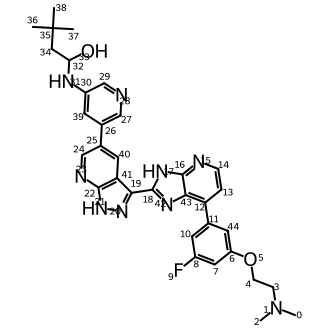 CN(C)CCOc1cc(F)cc(-c2ccnc3[nH]c(-c4n[nH]c5ncc(-c6cncc(NC(O)CC(C)(C)C)c6)cc45)nc23)c1